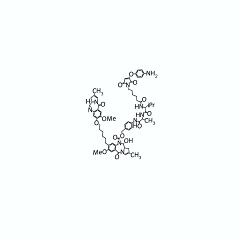 COc1cc2c(cc1CCCCCCOc1cc3c(cc1OC)C(=O)N1C=C(C)C[C@@H]1C=N3)N(C(=O)OCc1ccc(NC(=O)C(C)NC(=O)C(NC(=O)CCCCCN3C(=O)C=C(Oc4ccc(N)cc4)C3=O)C(C)C)cc1)C(O)C1CC(C)=CN1C2=O